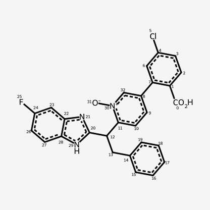 O=C(O)c1ccc(Cl)cc1-c1ccc(C(Cc2ccccc2)c2nc3cc(F)ccc3[nH]2)[n+]([O-])c1